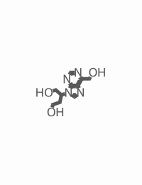 OCCC(CO)n1cnc2c(CO)ncnc21